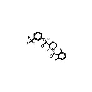 Cc1cccc(C)c1C(=O)N1CCC[C@H](C(=O)Nc2cccc(C(F)(F)F)c2)[C@@H]1C